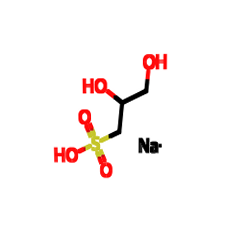 O=S(=O)(O)CC(O)CO.[Na]